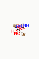 C1CNCCN1.OC(CBr)C(O)C(O)C(O)CBr